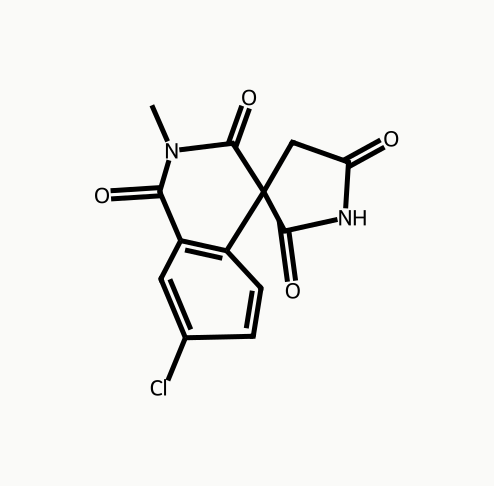 CN1C(=O)c2cc(Cl)ccc2C2(CC(=O)NC2=O)C1=O